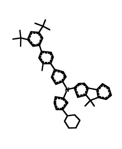 Cc1cc(-c2cc(C(C)(C)C)cc(C(C)(C)C)c2)ccc1-c1ccc(N(c2cccc(C3CCCCC3)c2)c2ccc3c(c2)C(C)(C)c2ccccc2-3)cc1